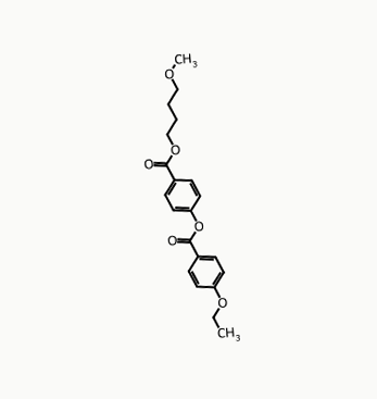 CCOc1ccc(C(=O)Oc2ccc(C(=O)OCCCCOC)cc2)cc1